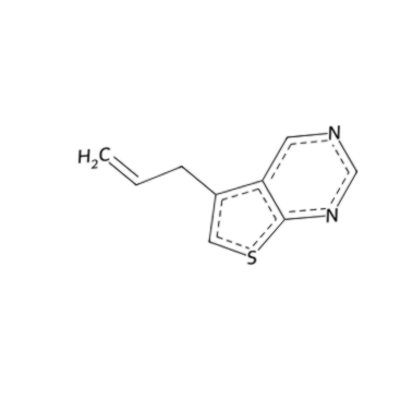 C=CCc1csc2ncncc12